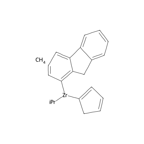 C.C[CH](C)[Zr]([C]1=CC=CC1)[c]1cccc2c1Cc1ccccc1-2